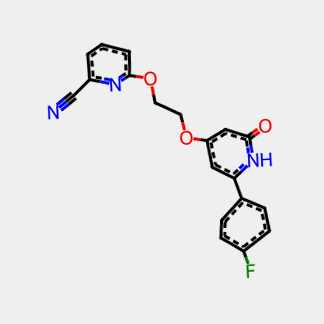 N#Cc1cccc(OCCOc2cc(-c3ccc(F)cc3)[nH]c(=O)c2)n1